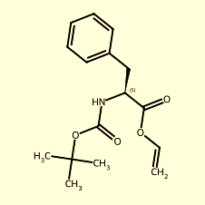 C=COC(=O)[C@H](Cc1ccccc1)NC(=O)OC(C)(C)C